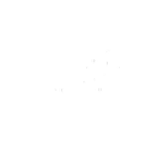 CCCCC(O)COP(=O)(O)OP(=O)(O)O